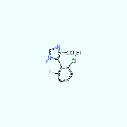 CCOC(=O)c1ncn(C)c1-c1c(F)cccc1Cl